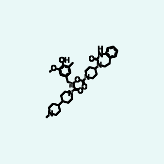 COc1cc(C[C@@H](OC(=O)N2CCC(N3CCc4ccccc4NC3=O)CC2)C(=O)N2CCC(C3CCN(C)CC3)CC2)cc(C)c1O